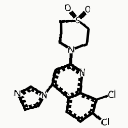 O=S1(=O)CCN(c2cc(-n3ccnc3)c3ccc(Cl)c(Cl)c3n2)CC1